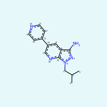 CC(C)Cn1nc(N)c2cc(-c3ccncc3)cnc21